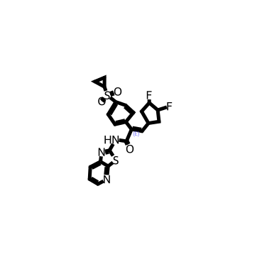 O=C(Nc1nc2cccnc2s1)/C(=C/C1CC(F)C(F)C1)c1ccc(S(=O)(=O)C2CC2)cc1